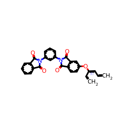 C=C/C=C(\C=C)Oc1ccc2c(c1)C(=O)N(c1cccc(N3C(=O)c4ccccc4C3=O)c1)C2=O